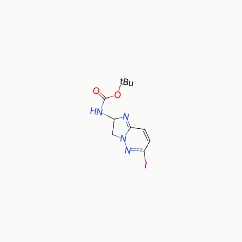 CC(C)(C)OC(=O)NC1CN2N=C(I)C=CC2=N1